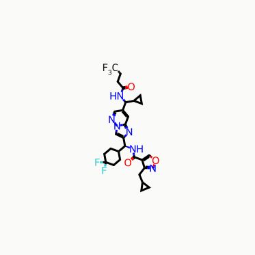 O=C(CCC(F)(F)F)NC(c1cnn2cc([C@@H](NC(=O)c3conc3CC3CC3)C3CCC(F)(F)CC3)nc2c1)C1CC1